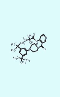 CC(C)(C)C(=O)Nc1ccncc1C(=O)N1CCN(c2cc(C(C)(C)C)cc(C(C)(C)C)c2)CC1